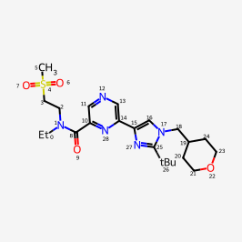 CCN(CCS(C)(=O)=O)C(=O)c1cncc(-c2cn(CC3CCOCC3)c(C(C)(C)C)n2)n1